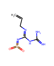 C=CCN=C(N=S(=O)=O)NC(=N)N